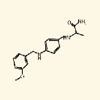 COc1cccc(CNc2ccc(CNC(C)C(N)=O)cc2)c1